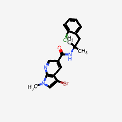 Cn1cc(Br)c2cc(C(=O)NC(C)(C)Cc3ccccc3Cl)cnc21